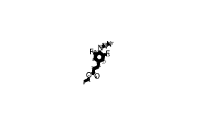 CCOC(=O)/C=C/c1cc(F)c(N=[N+]=[N-])c(F)c1